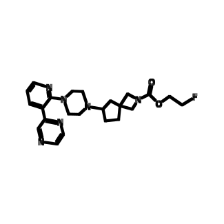 O=C(OCCF)N1CC2(CCC(N3CCN(c4ncccc4-c4cnccn4)CC3)C2)C1